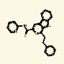 O=C(Nc1ccccn1)c1cc2c([nH]c3ccccc32)c(CCc2ccccc2)n1